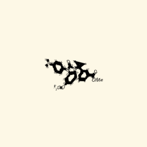 COC(=O)c1cccc(C2(n3c(=O)n(-c4ccc(N(C)C)cc4)c4cc(OC(F)(F)F)ccc43)CC2)c1